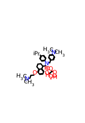 CC(C)c1ccc(N(Cc2ccc(N(C)C)cc2)C(=O)C2CCCc3c(OCCCN(C)C)cccc32)cc1.O.O=C(O)C(=O)O